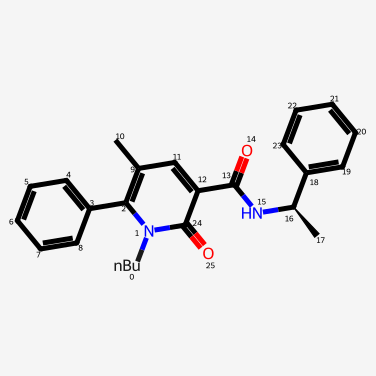 CCCCn1c(-c2ccccc2)c(C)cc(C(=O)N[C@H](C)c2ccccc2)c1=O